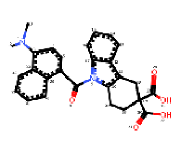 CN(C)c1ccc(C(=O)n2c3c(c4ccccc42)CC(C(=O)O)(C(=O)O)CC3)c2ccccc12